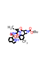 C=C[C@@H]1C[C@]1(NC(=O)C1CN(C(=O)OC(C)(C)C)CC1c1cc(C(F)(F)F)cc(C(F)(F)F)c1)C(=O)NS(=O)(=O)c1cccc2cc[nH]c12